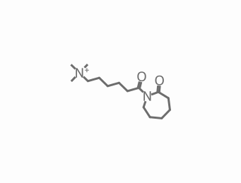 C[N+](C)(C)CCCCCC(=O)N1CCCCCC1=O